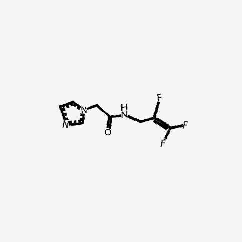 O=C(Cn1ccnc1)NCC(F)=C(F)F